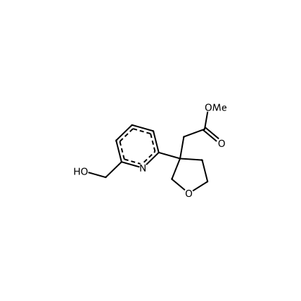 COC(=O)CC1(c2cccc(CO)n2)CCOC1